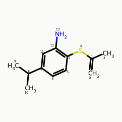 C=C(C)Sc1ccc(C(C)C)cc1N